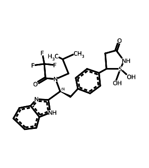 CC(C)CN(C(=O)C(F)(F)F)[C@@H](Cc1ccc(C2CC(=O)NS2(O)O)cc1)c1nc2ccccc2[nH]1